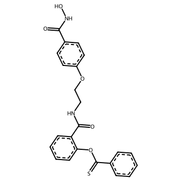 O=C(NO)c1ccc(OCCNC(=O)c2ccccc2OC(=S)c2ccccc2)cc1